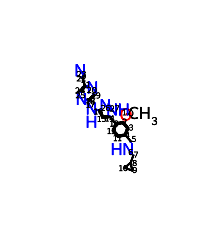 COc1cc(CNCC2CC2)ccc1-c1cc(Nc2cnc(C#N)cn2)n[nH]1